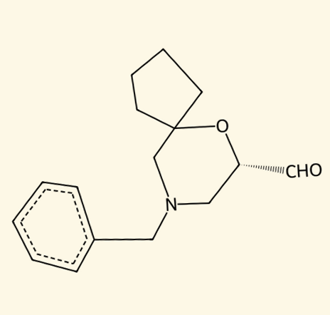 O=C[C@@H]1CN(Cc2ccccc2)CC2(CCCC2)O1